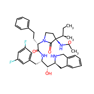 CC[C@@H](C)[C@@]1(NC(C)=O)CCN([C@@H](CCc2ccccc2)C(=O)N[C@@H](Cc2cc(F)cc(F)c2)[C@@H](O)[C@@H]2Cc3ccccc3CN2)C1=O